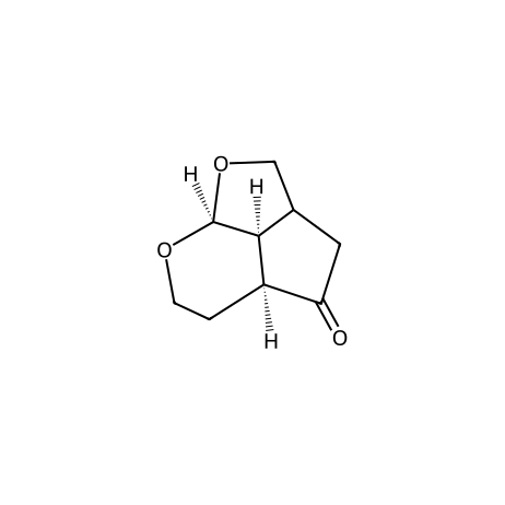 O=C1CC2CO[C@@H]3OCC[C@H]1[C@H]23